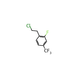 Fc1cc(C(F)(F)F)ccc1CCCl